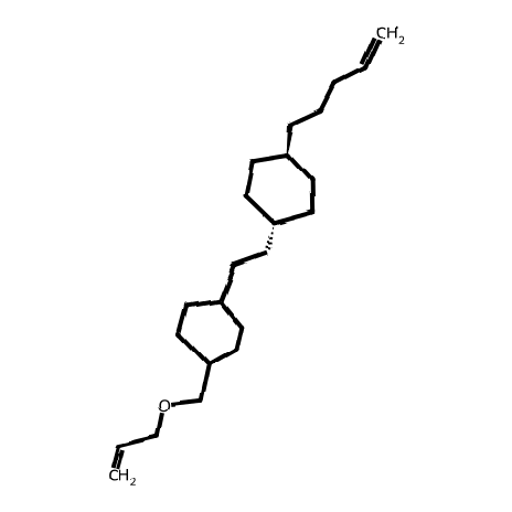 C=CCCC[C@H]1CC[C@H](CCC2CCC(COCC=C)CC2)CC1